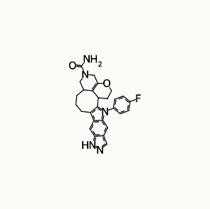 NC(=O)N1CC2=C3C(CCCc4c(n(-c5ccc(F)cc5)c5cc6cn[nH]c6cc45)C3CCO2)C1